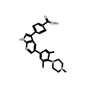 COC(=O)c1ccc(-c2c[nH]c3ncc(-c4cc(C)c(N5CCN(C)CC5)c(C)c4)cc23)cc1